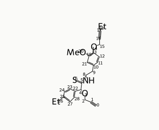 C#CCOC(C(=S)NCCc1ccc(OCC#CCC)c(OC)c1)c1ccc(CC)cc1